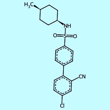 C[C@H]1CC[C@@H](NS(=O)(=O)c2ccc(-c3ccc(Cl)cc3C#N)cc2)CC1